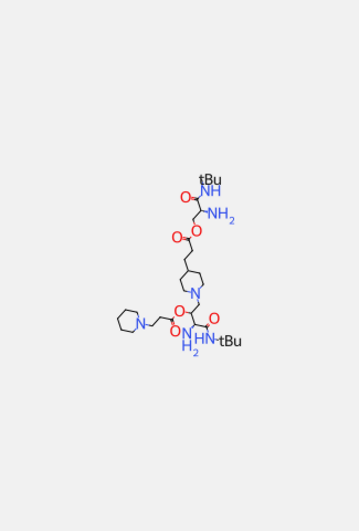 CC(C)(C)NC(=O)[C@@H](N)C(CN1CCC(CCC(=O)OC[C@H](N)C(=O)NC(C)(C)C)CC1)OC(=O)CCN1CCCCC1